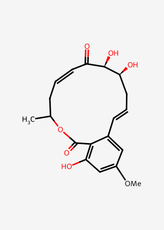 COc1cc(O)c2c(c1)/C=C/C[C@H](O)[C@H](O)C(=O)/C=C\CC(C)OC2=O